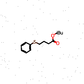 CCC(C)OC(=O)CCCSc1ccccc1